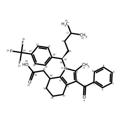 Cc1c(C(=O)c2ccccc2)c2c(n1[C@H](CCC(C)C)c1ccc(C(F)(F)F)cc1)C(CC(=O)O)CCC2